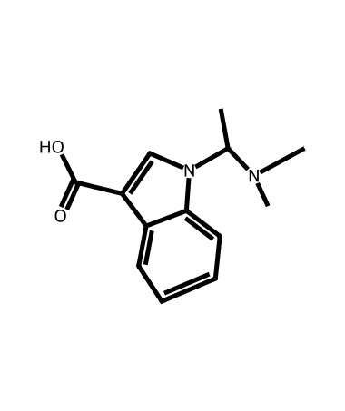 CC(N(C)C)n1cc(C(=O)O)c2ccccc21